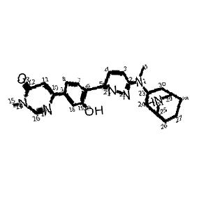 CN(c1ccc(-c2ccc(-c3cc(=O)n(C)cn3)cc2O)nn1)C1CC2CCCC(C1)N2